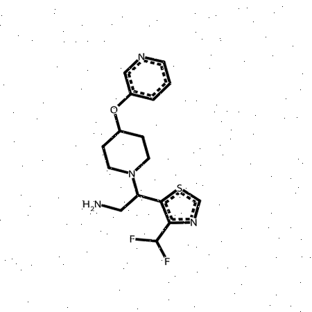 NCC(c1scnc1C(F)F)N1CCC(Oc2cccnc2)CC1